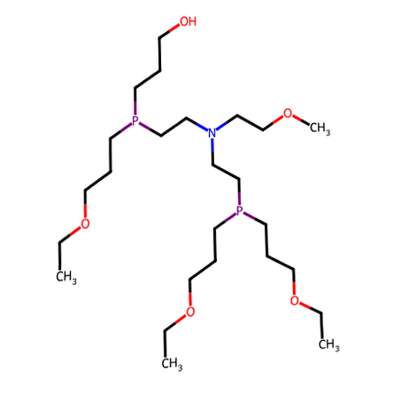 CCOCCCP(CCCO)CCN(CCOC)CCP(CCCOCC)CCCOCC